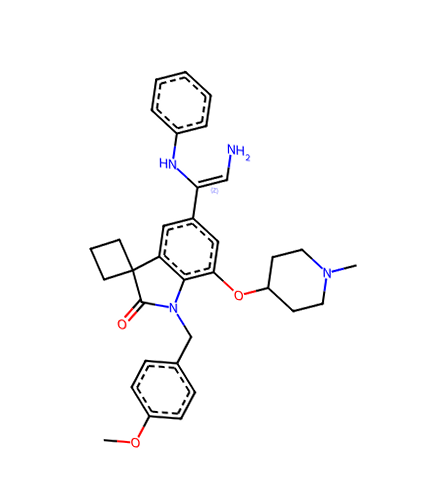 COc1ccc(CN2C(=O)C3(CCC3)c3cc(/C(=C/N)Nc4ccccc4)cc(OC4CCN(C)CC4)c32)cc1